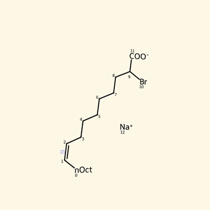 CCCCCCCC/C=C\CCCCCCC(Br)C(=O)[O-].[Na+]